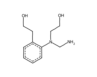 NCN(CCO)c1ccccc1CCO